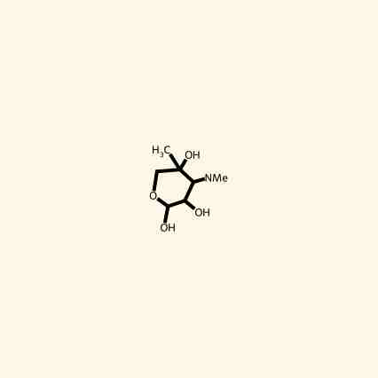 CNC1C(O)C(O)OCC1(C)O